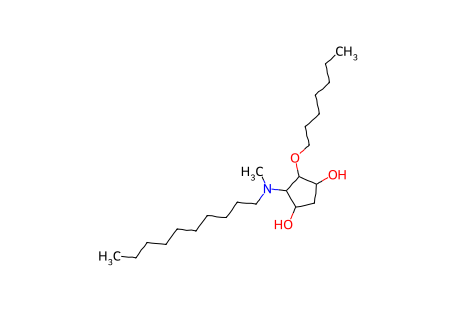 CCCCCCCCCCN(C)C1C(O)CC(O)C1OCCCCCCC